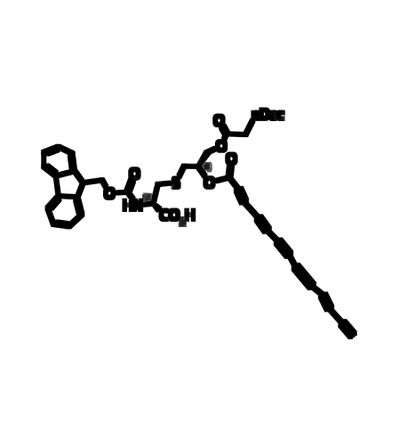 C#CC#CC#CC#CC#CC#CC(=O)O[C@H](COC(=O)CCCCCCCCCCC)CSC[C@H](NC(=O)OCC1c2ccccc2-c2ccccc21)C(=O)O